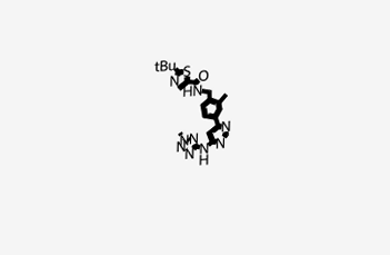 Cc1cc(-c2cc(Nc3nnn(C)n3)ncn2)ccc1CNC(=O)c1cnc(C(C)(C)C)s1